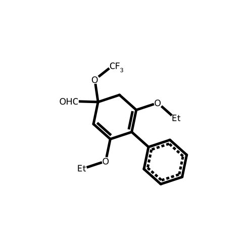 CCOC1=CC(C=O)(OC(F)(F)F)CC(OCC)=C1c1ccccc1